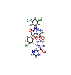 C[C@@]1(Cc2ccc(Br)cc2)C(=O)N(c2cc(Cl)cc(Cl)c2)c2ncc(S(=O)(=O)N3CCN(C(=O)c4cnccn4)CC3)n21